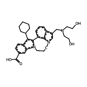 O=C(O)c1ccc2c(C3CCCCC3)c3n(c2c1)CCCn1cc(CN(CCO)CCO)c2cccc-3c21